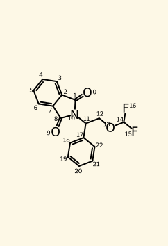 O=C1c2ccccc2C(=O)N1C(COC(F)F)c1ccccc1